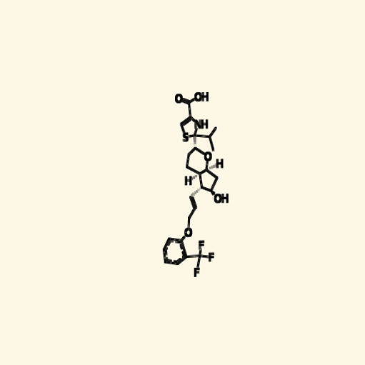 CC(C)C1([C@H]2CC[C@@H]3[C@@H](/C=C/COc4ccccc4C(F)(F)F)[C@H](O)C[C@@H]3O2)NC(C(=O)O)=CS1